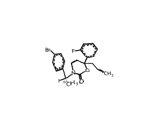 C=CCC1(c2ccccc2F)CCN([C@@](C)(I)c2ccc(Br)cc2)C(=O)O1